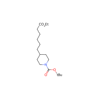 CCOC(=O)CCCCCC1CCN(C(=O)OC(C)(C)C)CC1